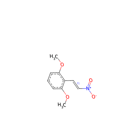 COc1cccc(OC)c1/C=C/[N+](=O)[O-]